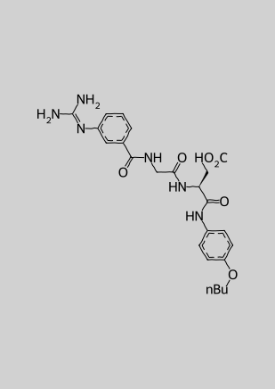 CCCCOc1ccc(NC(=O)[C@H](CC(=O)O)NC(=O)CNC(=O)c2cccc(N=C(N)N)c2)cc1